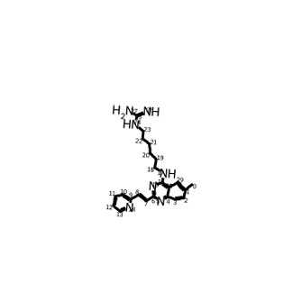 Cc1ccc2nc(/C=C/c3ccccn3)nc(NCCCCCCNC(=N)N)c2c1